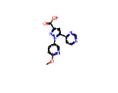 COc1ccc(-n2nc(C(=O)O)cc2-c2ccncn2)cn1